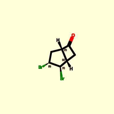 O=C1C[C@@H]2[C@@H](Br)[C@H](Br)C[C@H]12